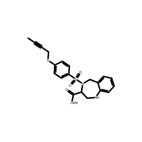 CC#CCOc1ccc(S(=O)(=O)N2Cc3ccccc3NCC2C(=O)OC)cc1